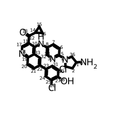 NC1CCN(c2ccc(Nc3c(C(=O)C4CC4)cnc4ccc(-c5cc(Cl)c(O)c(Cl)c5)cc34)cn2)C1